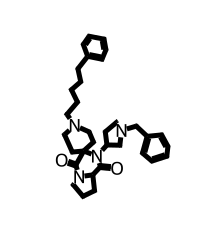 O=C1C2CCCN2C(=O)C2(CCN(CCCCCc3ccccc3)CC2)N1C1CCN(Cc2ccccc2)C1